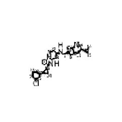 O=C(Nc1cc(NCc2cc3cc(C4CC4)cnc3s2)ccn1)[C@H]1C[C@@H]1c1cccc(Cl)c1